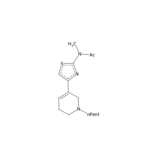 CCCCCN1CCC=C(c2csc(N(C)C(C)=O)n2)C1